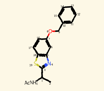 CC(=O)NC(C)c1nc2cc(OCc3ccccc3)ccc2s1